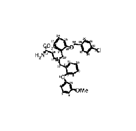 COc1cccc(Oc2ccccc2CN(CC[C@H](N)C(=O)O)Cc2ccccc2OCc2ccc(Cl)cc2)c1